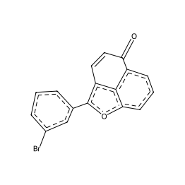 O=C1C=Cc2c(-c3cccc(Br)c3)oc3cccc1c23